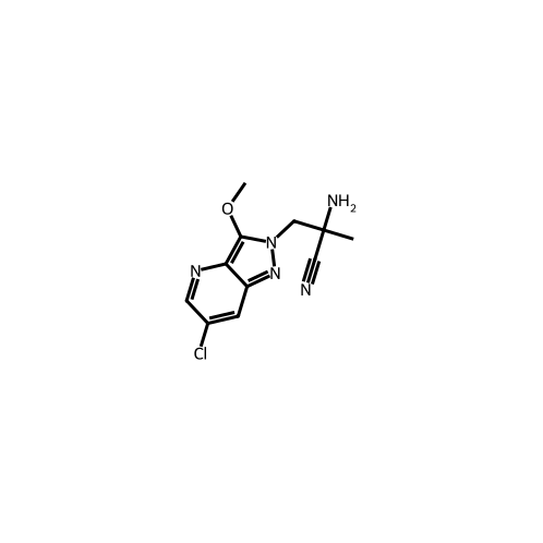 COc1c2ncc(Cl)cc2nn1CC(C)(N)C#N